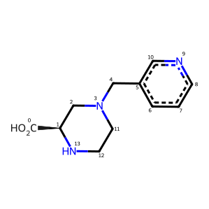 O=C(O)[C@H]1CN(Cc2cccnc2)CCN1